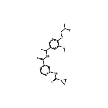 COc1cc(C(C)NC(=O)c2ccnc(NC(=O)C3CC3)c2)cnc1OCC(C)F